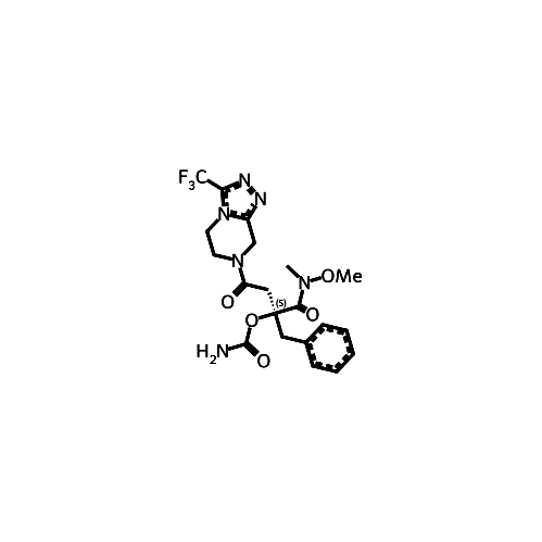 CON(C)C(=O)[C@@](CC(=O)N1CCn2c(nnc2C(F)(F)F)C1)(Cc1ccccc1)OC(N)=O